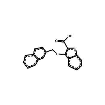 O=C(O)c1sc2ccccc2c1OCc1ccc2ccccc2c1